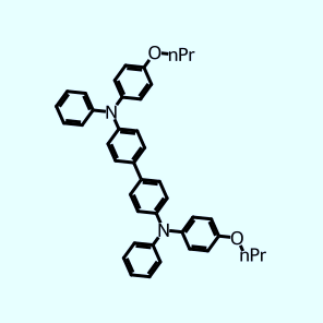 CCCOc1ccc(N(c2ccccc2)c2ccc(-c3ccc(N(c4ccccc4)c4ccc(OCCC)cc4)cc3)cc2)cc1